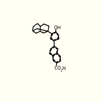 O=C(O)c1ccc2cc(-c3ccc(O)c(C45CCC6CCC(CC6C4)C5)c3)ccc2c1